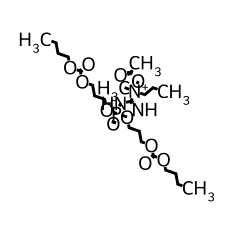 CCCCOC(=O)OCCCOP(=O)(NC(=N)[N+](C)(CCC)OC(C)=O)OCCCOC(=O)OCCCC